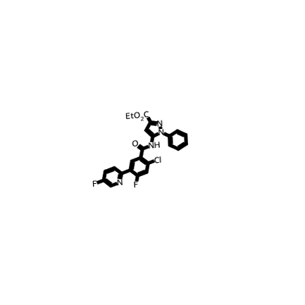 CCOC(=O)c1cc(NC(=O)c2cc(-c3ccc(F)cn3)c(F)cc2Cl)n(-c2ccccc2)n1